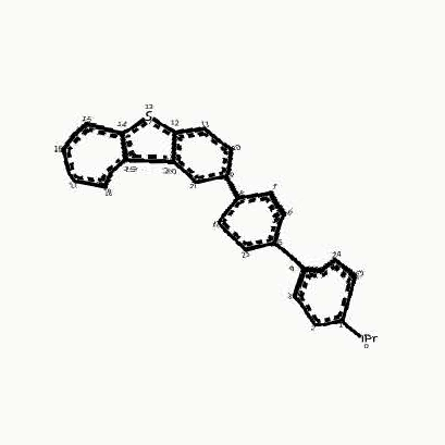 CC(C)c1ccc(-c2ccc(-c3ccc4sc5ccccc5c4c3)cc2)cc1